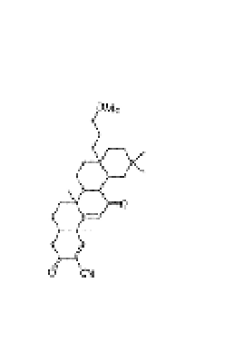 COCCCC12CCC3C(C(=O)C=C4C5(C)C=C(C#N)C(=O)CC5CCC43C)C1CC(C)(C)CC2